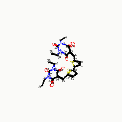 CCN1C(=O)C(=Cc2ccc(-c3ccc(C=C4C(=O)N(CC)C(=O)N(CC)C4=O)s3)s2)C(=O)N(CC)C1=O